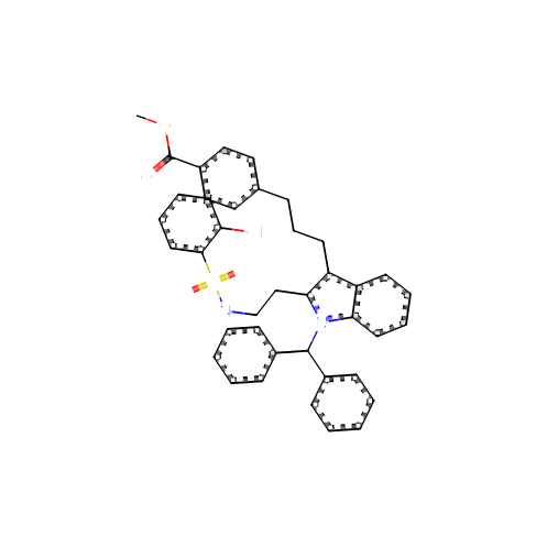 COC(=O)c1ccc(CCCc2c(CCNS(=O)(=O)c3ccccc3O)n(C(c3ccccc3)c3ccccc3)c3ccccc23)cc1